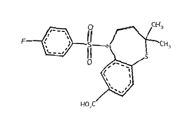 CC1(C)CCN(S(=O)(=O)c2ccc(F)cc2)c2cc(C(=O)O)ccc2S1